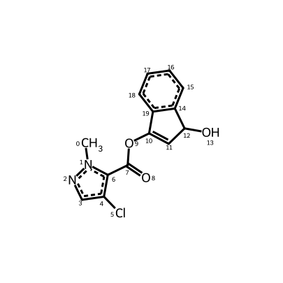 Cn1ncc(Cl)c1C(=O)OC1=CC(O)c2ccccc21